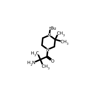 CC(C)(N)C(=O)N1CCN(C(C)(C)C)C(C)(C)C1